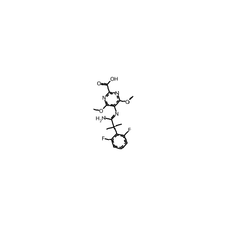 COc1nc(C(=O)O)nc(OC)c1N=C(N)C(C)(C)c1c(F)cccc1F